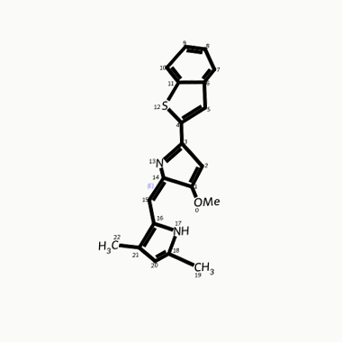 COC1=CC(c2cc3ccccc3s2)=N/C1=C/c1[nH]c(C)cc1C